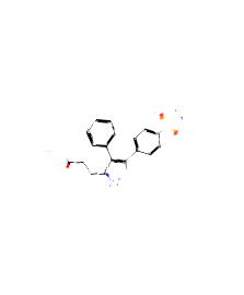 NS(=O)(=O)c1ccc(-c2onc(CCC(=O)O)c2-c2ccccc2)cc1